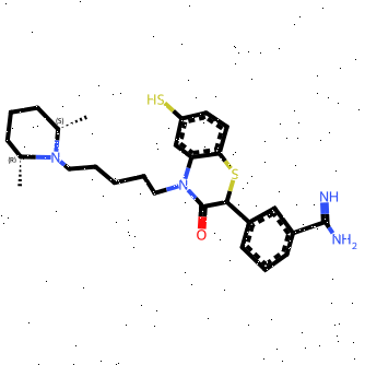 C[C@@H]1CCC[C@H](C)N1CCCCCN1C(=O)C(c2cccc(C(=N)N)c2)Sc2ccc(S)cc21